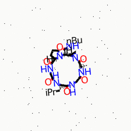 CCCCNC(=O)[C@H]1[C@@H]2CN2C(=O)[C@H](C)NC(=O)CNC(=O)[C@H](CC(C)C)NC(=O)CNC(=O)[C@@H]2CCCN21